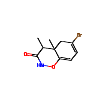 CC1C(=O)NOC2=CC=C(Br)CC21C